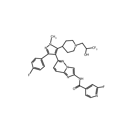 Cn1nc(-c2ccc(F)cc2)c(-c2ccc3nc(NC(=O)c4ccnc(F)c4)cn3n2)c1C1CCN(CC(O)C(F)(F)F)CC1